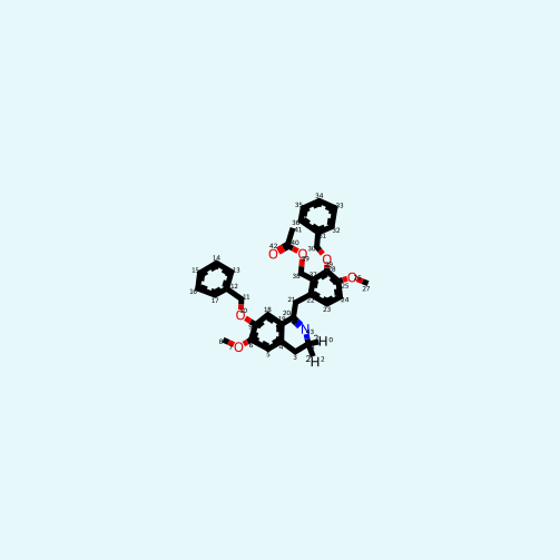 [2H]C1([2H])Cc2cc(OC)c(OCc3ccccc3)cc2C(Cc2ccc(OC)c(OCc3ccccc3)c2COC(C)=O)=N1